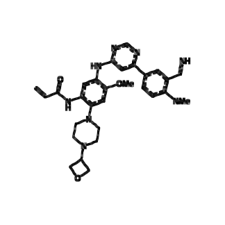 C=CC(=O)Nc1cc(Nc2cc(-c3ccc(NC)c(C=N)c3)ncn2)c(OC)cc1N1CCN(C2COC2)CC1